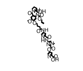 C=CCOC(=O)N1c2cc(OCCCC(=O)Nc3cc(C(=O)Nc4cn(C)c(C(=O)Oc5cc(C(=O)O)n(C)c5)n4)n(C)c3)c(OC)cc2C(=O)N2CCC[C@H]2C1O